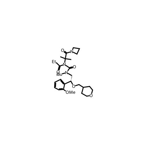 CCC(=O)N(C(=O)N(C[C@H](OCC1CCOCC1)c1ccccc1OC)C(C)CC)C(C)(C)C(=O)N1CCC1